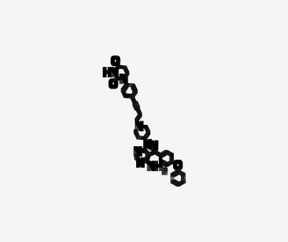 Nc1ncnc2c1c(-c1ccc(Oc3ccccc3)cc1)nn2C1CCN(CCC#Cc2ccc(N3CCC(=O)NC3=O)cc2)CC1